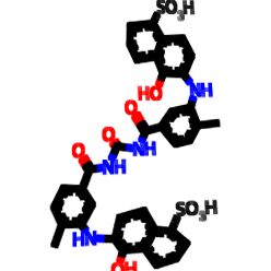 Cc1ccc(C(=O)NC(=O)NC(=O)c2ccc(C)c(Nc3ccc4c(S(=O)(=O)O)cccc4c3O)c2)cc1Nc1ccc2c(S(=O)(=O)O)cccc2c1O